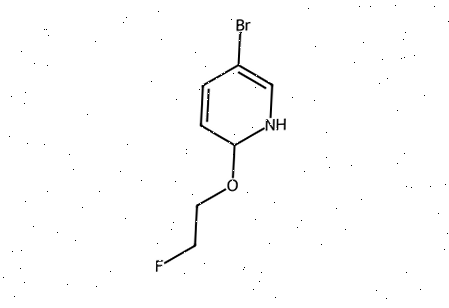 FCCOC1C=CC(Br)=CN1